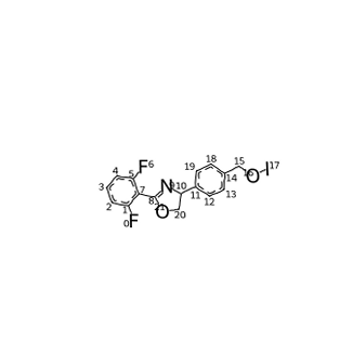 Fc1cccc(F)c1C1=NC(c2ccc(COI)cc2)CO1